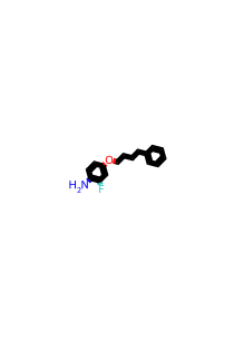 Nc1ccc(OCCCCc2ccccc2)cc1F